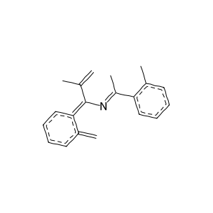 C=C(C)C(/N=C(\C)c1ccccc1C)=c1\ccccc1=C